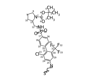 CC(C)(C)OC(=O)N1CCCC1CNS(=O)(=O)c1ccc(-c2c(Cl)cc(N=C=S)cc2C(F)(F)F)cc1